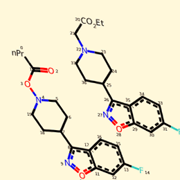 CCCC(=O)ON1CCC(c2noc3cc(F)ccc23)CC1.CCOC(=O)CN1CCC(c2noc3cc(F)ccc23)CC1